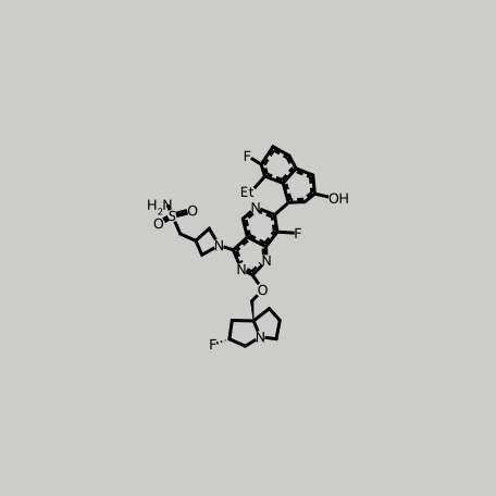 CCc1c(F)ccc2cc(O)cc(-c3ncc4c(N5CC(CS(N)(=O)=O)C5)nc(OC[C@@]56CCCN5C[C@H](F)C6)nc4c3F)c12